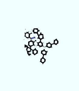 CCC1=C(/C=C(\C)N2B3c4cccc5c4N(c4ccccc4C54c5ccccc5-c5ccccc54)c4cc(N(c5ccc(-c6ccccc6)cc5C)c5ccc(-c6ccccc6)cc5C)cc(c43)-c3ccc4oc5ccccc5c4c32)C(C)(C)CCC1(C)C